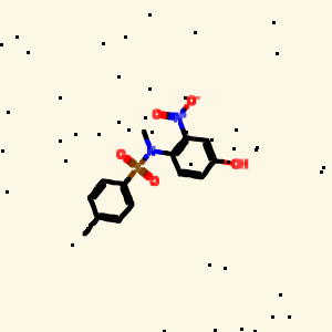 Cc1ccc(S(=O)(=O)N(C)c2ccc(O)cc2[N+](=O)[O-])cc1